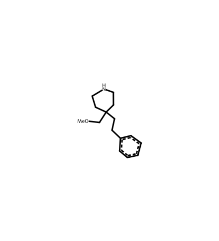 COCC1(CCc2ccccc2)CCNCC1